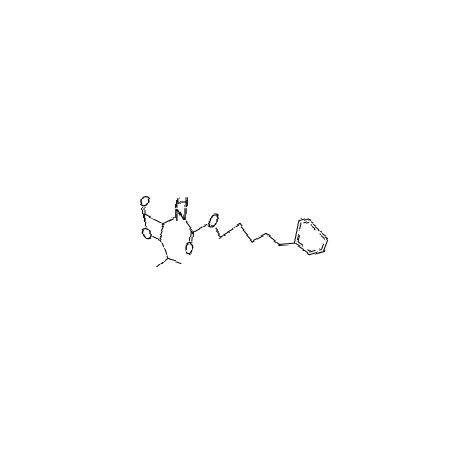 CC(C)C1OC(=O)C1NC(=O)OCCCCCc1ccccc1